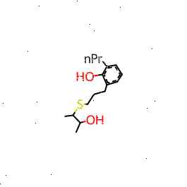 CCCc1cccc(CCCSC(C)C(C)O)c1O